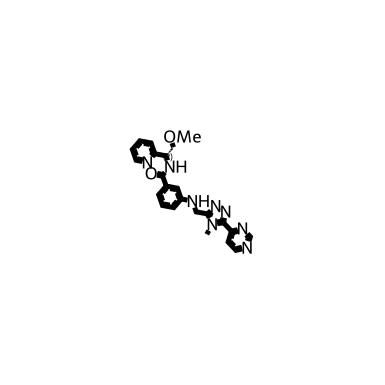 COC[C@H](NC(=O)c1cccc(NCc2nnc(-c3ccncn3)n2C)c1)c1ccccn1